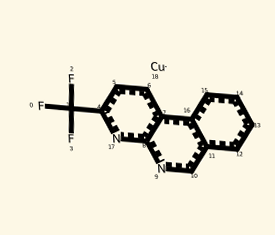 FC(F)(F)c1ccc2c(ncc3ccccc32)n1.[Cu]